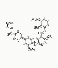 CNc1cccc(CNc2nc(Nc3ccc(N4CCN(C(=O)CCOC)CC4)cc3OC)ncc2C(F)(F)F)c1C(C)(C)C